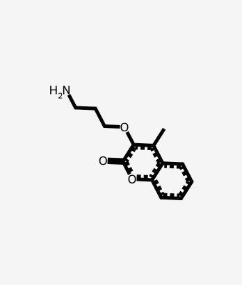 Cc1c(OCCCN)c(=O)oc2ccccc12